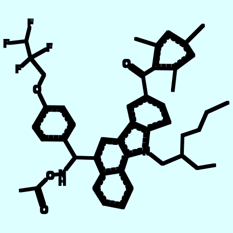 CCCCC(CC)Cn1c2ccc(C(=O)c3c(C)cc(C)cc3C)cc2c2cc(C(NOC(C)=O)c3ccc(OCC(F)(F)C(F)F)cc3)c3ccccc3c21